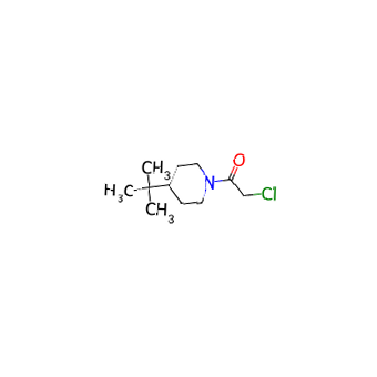 CC(C)(C)C1CCN(C(=O)CCl)CC1